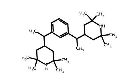 CC(c1cccc(C(C)C2CC(C)(C)NC(C)(C)C2)c1)C1CC(C)(C)NC(C)(C)C1